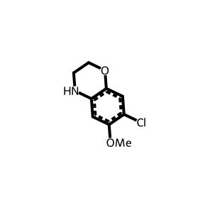 COc1cc2c(cc1Cl)OCCN2